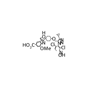 C\C=C(Cl)/C(=C(Cl)\C=N\O)n1nnc(C2CC2)c1COC1CCC(O)(c2nc3c(OC)cc(C(=O)O)cc3s2)CC1